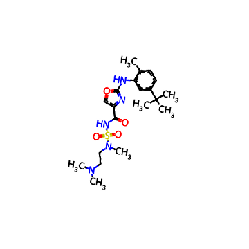 Cc1ccc(C(C)(C)C)cc1Nc1nc(C(=O)NS(=O)(=O)N(C)CCN(C)C)co1